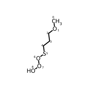 COCCCSOOO